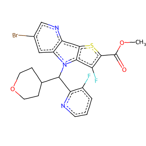 COC(=O)c1sc2c3ncc(Br)cc3n(C(c3ncccc3F)C3CCOCC3)c2c1F